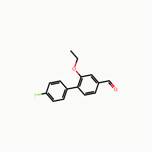 CCOc1cc(C=O)ccc1-c1ccc(F)cc1